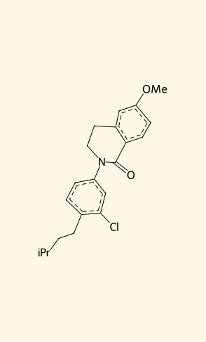 COc1ccc2c(c1)CCN(c1ccc(CCC(C)C)c(Cl)c1)C2=O